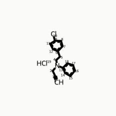 C#CCN(CCc1ccc(Cl)cc1)c1ccccc1.Cl